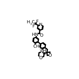 Cc1ccc(NC(=O)c2ccnc(C(C)(F)F)c2)cc1-c1ccc2c(c1)N1CCOC[C@H]1C1(COC1)C2